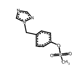 CS(=O)(=O)Oc1ccc(Cn2cncn2)cc1